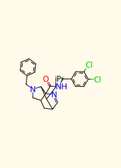 CC(C)CC1C2C=NC3(C(=O)NCc4ccc(Cl)c(Cl)c4)C(C2)CN(Cc2ccccc2)C13